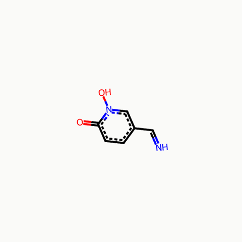 N=Cc1ccc(=O)n(O)c1